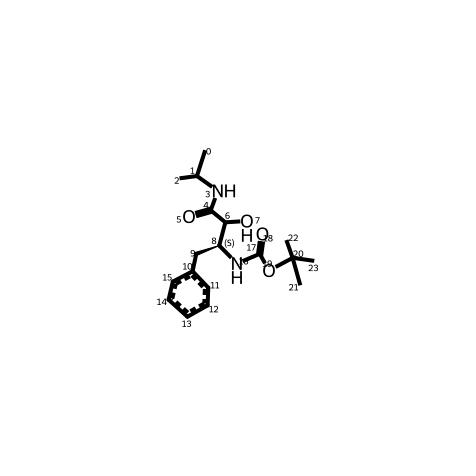 CC(C)NC(=O)C(O)[C@H](Cc1ccccc1)NC(=O)OC(C)(C)C